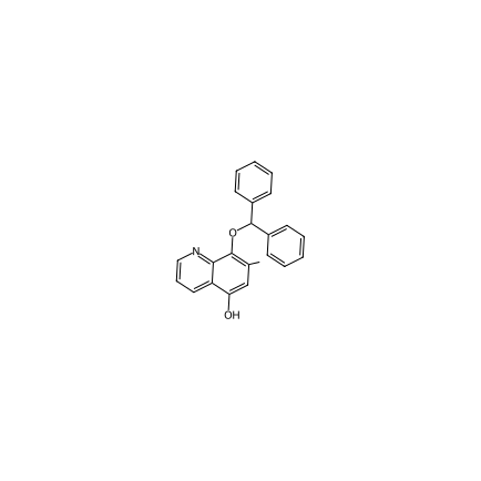 Cc1cc(O)c2cccnc2c1OC(c1ccccc1)c1ccccc1